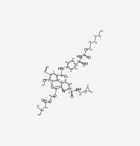 C=Cc1cc(C(=O)Nc2ccc(C(=N)NC(=O)OCCCCCC)cc2)c(-c2ccc(C(=O)NCC3CC3)nc2C(=O)OCOC(=O)CC(C)C)cc1OC